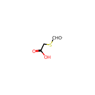 O=[C]SCC(=O)O